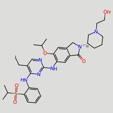 CC(C)Oc1cc2c(cc1Nc1ncc(CI)c(Nc3ccccc3S(=O)(=O)C(C)C)n1)C(=O)N([C@H]1CCCN(CCO)C1)C2